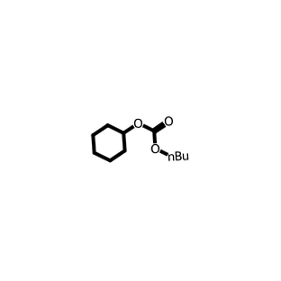 [CH2]CCCOC(=O)OC1CCCCC1